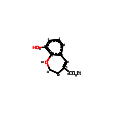 CCOC(=O)C1=Cc2cccc(O)c2OCC1